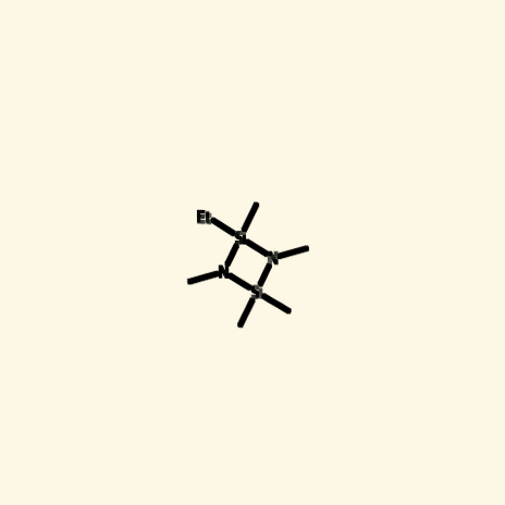 CC[Si]1(C)N(C)[Si](C)(C)N1C